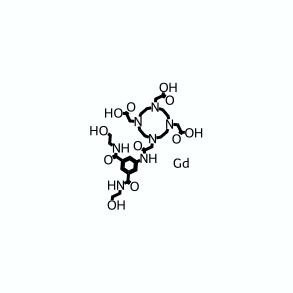 O=C(O)CN1CCN(CC(=O)O)CCN(CC(=O)Nc2cc(C(=O)NCCO)cc(C(=O)NCCO)c2)CCN(CC(=O)O)CC1.[Gd]